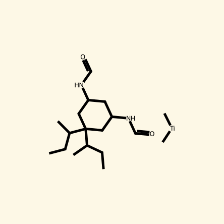 CCC(C)C1(C(C)CC)CC(NC=O)CC(NC=O)C1.[CH3][Ti][CH3]